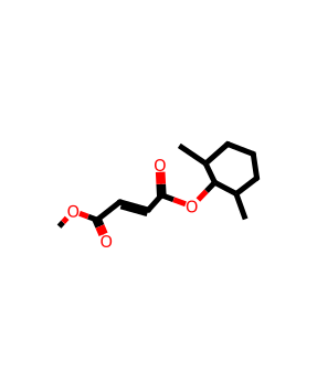 COC(=O)C=CC(=O)OC1C(C)CCCC1C